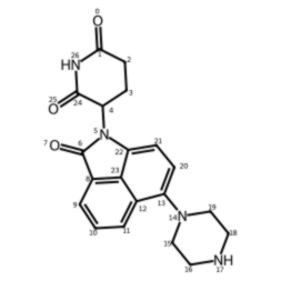 O=C1CCC(N2C(=O)c3cccc4c(N5CCNCC5)ccc2c34)C(=O)N1